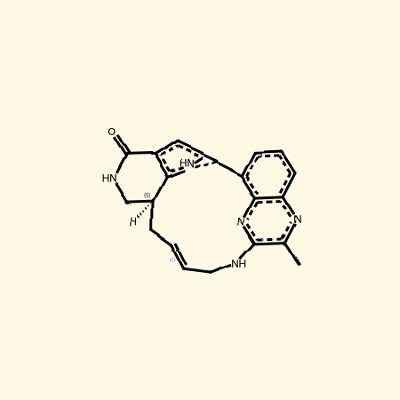 Cc1nc2cccc3c2nc1NC/C=C/C[C@H]1CNC(=O)c2cc-3[nH]c21